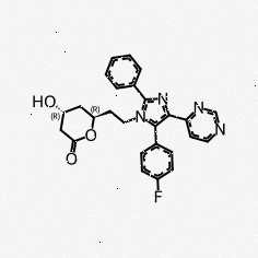 O=C1C[C@H](O)C[C@@H](CCn2c(-c3ccccc3)nc(-c3ccncn3)c2-c2ccc(F)cc2)O1